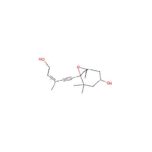 C/C(C#CC12OC1(C)CC(O)CC2(C)C)=C/CO